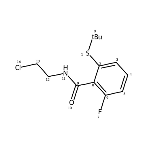 CC(C)(C)Sc1cccc(F)c1C(=O)NCCCl